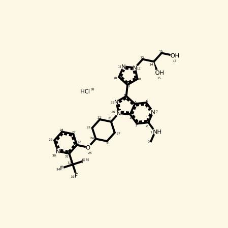 CNc1cc2c(cn1)c(-c1cnn(C[C@H](O)CO)c1)nn2C1CCC(Oc2cccnc2C(F)(F)F)CC1.Cl